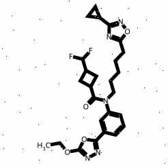 CCOc1nnc(-c2cccc(N(CCCCCc3nc(C4CC4)no3)C(=O)C3CC(C(F)F)C3)c2)o1